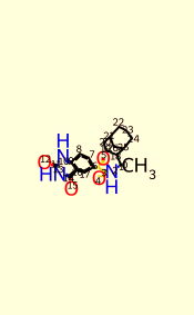 CC(NS(=O)(=O)c1ccc2[nH]c(=O)[nH]c(=O)c2c1)C1CCC2CCCC1C2